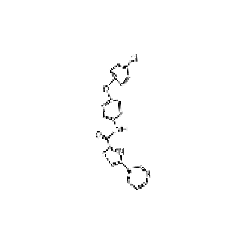 O=C(Nc1ccc(Oc2ccc(Cl)cc2)cc1)c1nc(-c2cccnc2)cs1